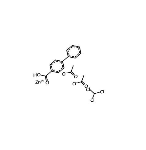 CC(=O)[O-].CC(=O)[O-].ClC(Cl)Cl.O=C(O)c1ccc(-c2ccccc2)cc1.[Zn+2]